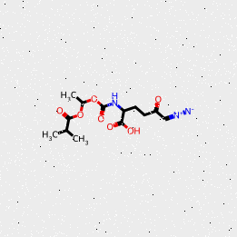 CC(OC(=O)NC(CCC(=O)C=[N+]=[N-])C(=O)O)OC(=O)C(C)C